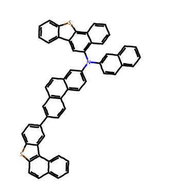 c1ccc2cc(N(c3ccc4c(ccc5cc(-c6ccc7sc8ccc9ccccc9c8c7c6)ccc54)c3)c3cc4c5ccccc5sc4c4ccccc34)ccc2c1